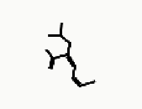 C=C(C)/C(=C\C=C/C)CC(C)C